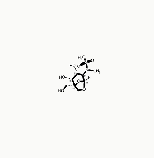 CN([C@H]1[C@H]2OC[C@](CO)(O2)[C@H](O)[C@@H]1O)S(C)(=O)=O